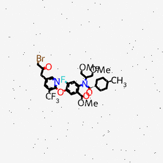 COCC(COC)N(c1cc(F)c(Oc2ncc(CC(=O)CBr)cc2C(F)(F)F)cc1C(=O)OC)C(=O)[C@H]1CC[C@H](C)CC1